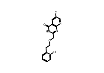 O=c1[nH]c(COCCc2ccccc2Cl)nc2ncc(Cl)cc12